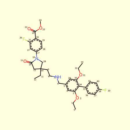 CCOc1cc(CNCCC2(CC)CC(=O)N(c3ccc(C(=O)OC)c(F)c3)C2)cc(OCC)c1-c1ccc(F)cc1